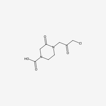 O=C(CCl)CN1CCN(C(=O)O)CC1=O